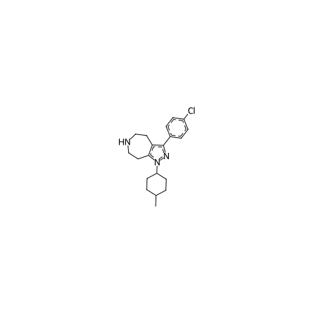 CC1CCC(n2nc(-c3ccc(Cl)cc3)c3c2CCNCC3)CC1